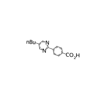 CCCCc1cnc(-c2ccc(C(=O)O)cc2)nc1